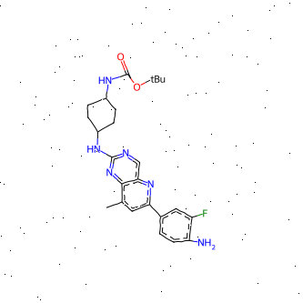 Cc1cc(-c2ccc(N)c(F)c2)nc2cnc(NC3CCC(NC(=O)OC(C)(C)C)CC3)nc12